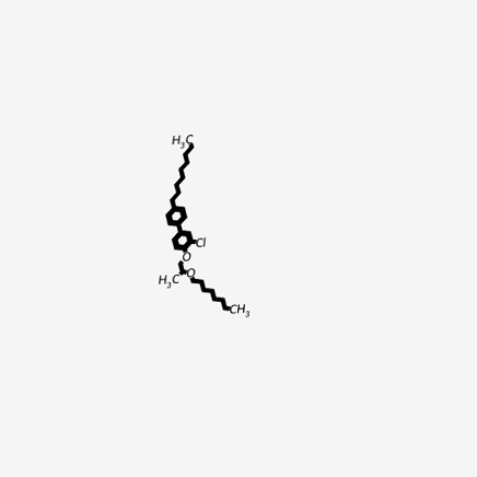 CCCCCCCCCc1ccc(-c2ccc(OCC(C)OCCCCCCCC)c(Cl)c2)cc1